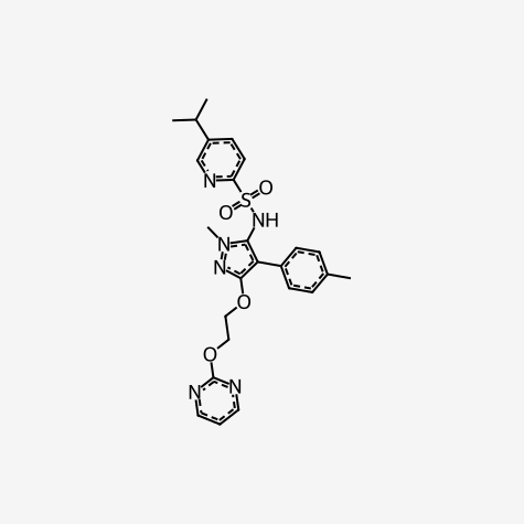 Cc1ccc(-c2c(OCCOc3ncccn3)nn(C)c2NS(=O)(=O)c2ccc(C(C)C)cn2)cc1